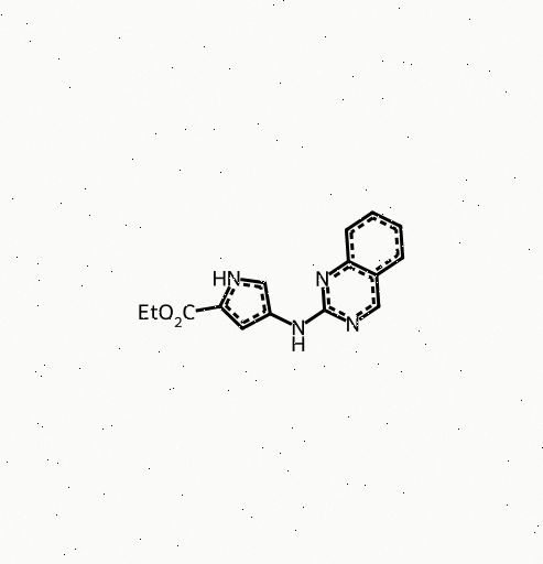 CCOC(=O)c1cc(Nc2ncc3ccccc3n2)c[nH]1